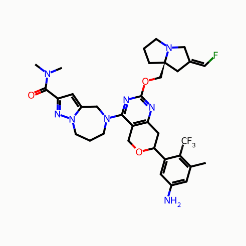 Cc1cc(N)cc(C2Cc3nc(OC[C@@]45CCCN4C/C(=C\F)C5)nc(N4CCCn5nc(C(=O)N(C)C)cc5C4)c3CO2)c1C(F)(F)F